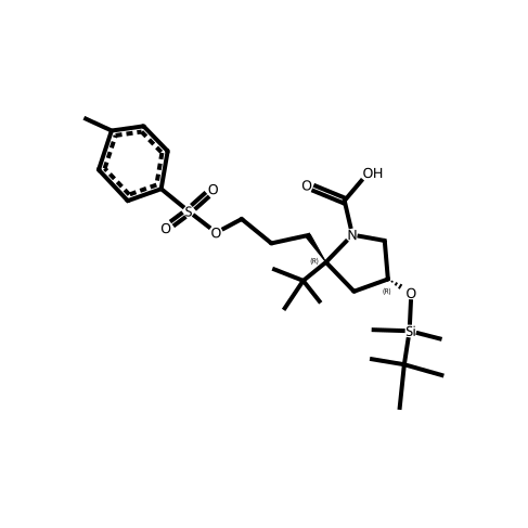 Cc1ccc(S(=O)(=O)OCCC[C@]2(C(C)(C)C)C[C@@H](O[Si](C)(C)C(C)(C)C)CN2C(=O)O)cc1